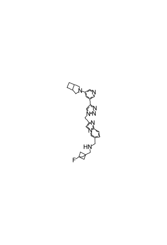 FC12CC(CNCc3ccc4nc(Cn5cc(-c6cncc(N7CC8CCC8C7)c6)nn5)cn4c3)(C1)C2